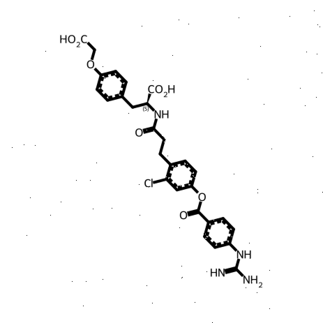 N=C(N)Nc1ccc(C(=O)Oc2ccc(CCC(=O)N[C@@H](Cc3ccc(OCC(=O)O)cc3)C(=O)O)c(Cl)c2)cc1